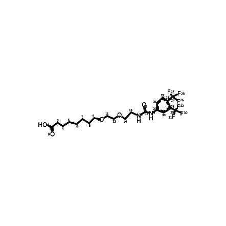 O=C(O)CCCCCCCOCCOCCNC(=O)Nc1ccc(C(F)(F)F)c(C(F)(F)F)c1